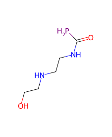 O=C(P)NCCNCCO